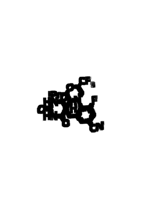 CC(C)C1O[C@H](C(F)(F)F)CN2c3c(F)cc(C#N)cc3CC3(C(=O)NC(=O)NC3=O)[C@@H]12